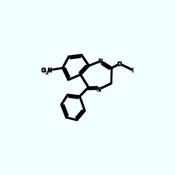 O=[N+]([O-])c1ccc2c(c1)C(c1ccccc1)=NCC(OI)=N2